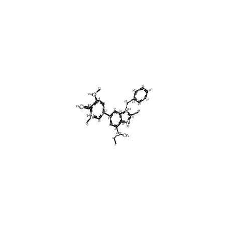 CC[S+]([O-])c1cc(-c2cc(OC)c(=O)n(C)c2)cc2c1nc(C)n2Cc1ccccc1